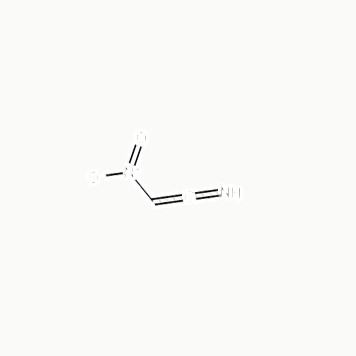 N=C=C[N+](=O)[O-]